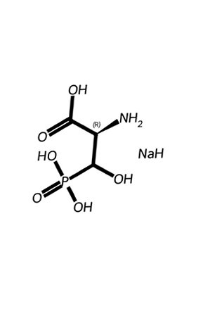 N[C@H](C(=O)O)C(O)P(=O)(O)O.[NaH]